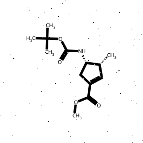 COC(=O)C1=C[C@@H](C)[C@@H](NC(=O)OC(C)(C)C)C1